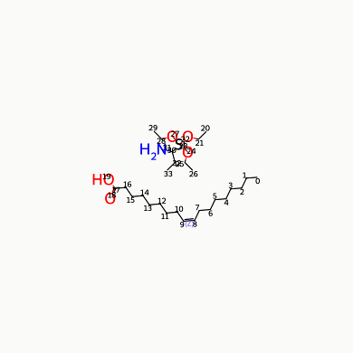 CCCCCCCC/C=C\CCCCCCCC(=O)O.CCO[Si](OCC)(OCC)C(N)CC